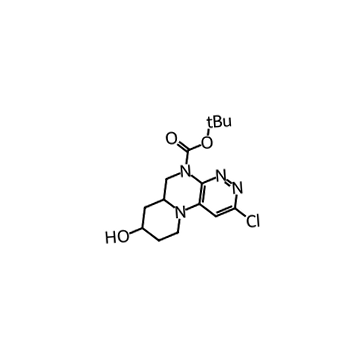 CC(C)(C)OC(=O)N1CC2CC(O)CCN2c2cc(Cl)nnc21